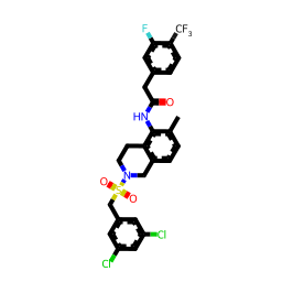 Cc1ccc2c(c1NC(=O)Cc1ccc(C(F)(F)F)c(F)c1)CCN(S(=O)(=O)Cc1cc(Cl)cc(Cl)c1)C2